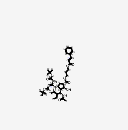 CCC(CC)[C@H](NC(C)=O)[C@@H]1[C@H](O)[C@@H](C(=O)OCCCOC(=O)/C=C/c2c[c][c]cc2)C[C@H]1N/C(=N\C(=O)OC(C)(C)C)NC(=O)OC(C)(C)C